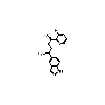 C=C(CCC(=C)c1ncccc1F)c1ccc2[nH]ncc2c1